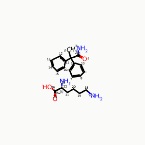 CC(C(N)=O)(c1ccccc1)c1ccccc1.NCCCC[C@H](N)C(=O)O